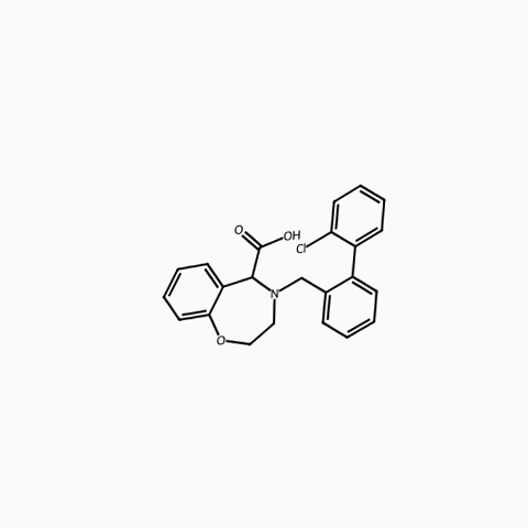 O=C(O)C1c2ccccc2OCCN1Cc1ccccc1-c1ccccc1Cl